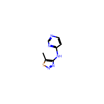 Cc1snnc1Nc1ccn[c]n1